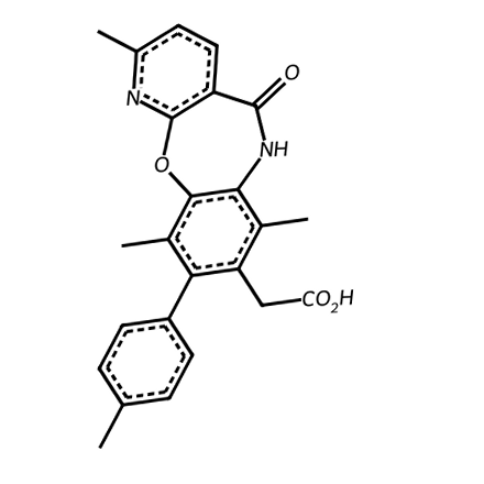 Cc1ccc(-c2c(C)c3c(c(C)c2CC(=O)O)NC(=O)c2ccc(C)nc2O3)cc1